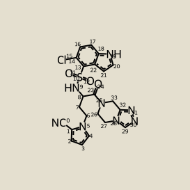 N#Cc1cccn1CCC(NS(=O)(=O)c1c(Cl)ccc2[nH]ccc12)C(=O)N1CCn2cnnc2C1